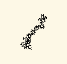 CC(=O)c1c(C)c2cnc(Nc3ccc(N4CCC(N5CCN(Cc6ccccc6NC6CCC(=O)NC6=O)CC5)CC4)cn3)nc2n(C2CCCC2)c1=O